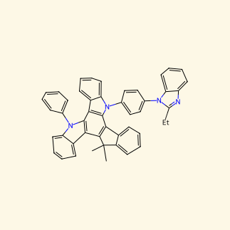 CCc1nc2ccccc2n1-c1ccc(-n2c3ccccc3c3c2c2c(c4c5ccccc5n(-c5ccccc5)c43)C(C)(C)c3ccccc3-2)cc1